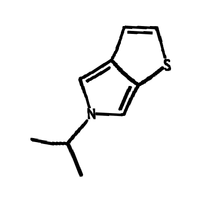 CC(C)n1cc2ccsc2c1